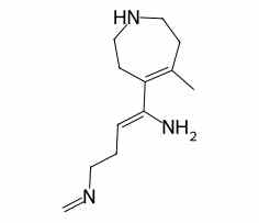 C=NCC/C=C(\N)C1=C(C)CCNCC1